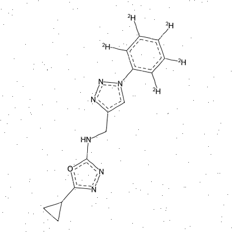 [2H]c1c([2H])c([2H])c(-n2cc(CNc3nnc(C4CC4)o3)nn2)c([2H])c1[2H]